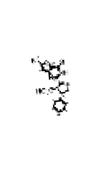 O=C(O)N1[C@@H](c2ccccc2)CC[C@H]1c1nc2cc(Br)sc2c(=O)[nH]1